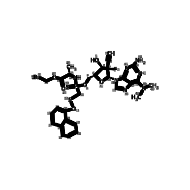 C#C[C@@]1(F)[C@H](O)[C@@H](COP(=S)(CSOc2cccc3ccccc23)N[C@@H](C)C(=O)OCC(C)(C)C)O[C@H]1n1cnc2c(N(C)C)nc(N)nc21